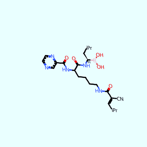 CC(C)C=C(C#N)C(=O)NCCCCC(NC(=O)c1cnccn1)C(=O)N[C@@H](CC(C)C)B(O)O